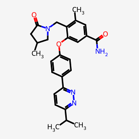 Cc1cc(C(N)=O)cc(Oc2ccc(-c3ccc(C(C)C)nn3)cc2)c1CN1CC(C)CC1=O